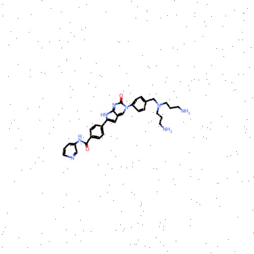 NCCCN(CCCN)Cc1ccc(-n2cc3cc(-c4ccc(C(=O)Nc5cccnc5)cc4)[nH]c3nc2=O)cc1